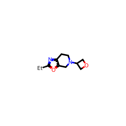 CCc1nc2c(o1)CN(C1COC1)CC2